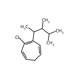 CC(C)C(C)C(C)C1=C(Cl)C=CCC=C1